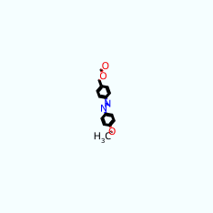 COc1ccc(N=Nc2ccc(COC=O)cc2)cc1